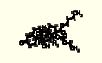 CCCCOC(=O)[C@@]1(OC(=O)OCC)CC[C@H]2[C@@H]3CCC4=CC(=O)CC[C@]4(C)[C@H]3[C@@H](O)C[C@@]21C